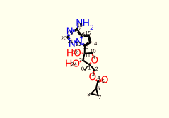 C[C@]1(COC(=O)C2CC2)OC[C@](O)(c2ccc3c(N)ncnn23)[C@@H]1O